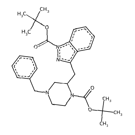 CC(C)(C)OC(=O)N1CCN(Cc2ccccc2)CC1Cc1nn(C(=O)OC(C)(C)C)c2ccccc12